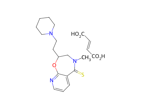 CN1CC(CCN2CCCCC2)Oc2ncccc2C1=S.O=C(O)C=CC(=O)O